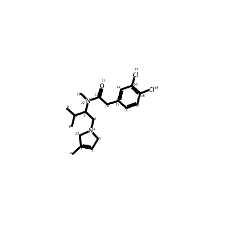 CC1=CCN(CC(C(C)C)N(C)C(=O)Cc2ccc(Cl)c(Cl)c2)C1